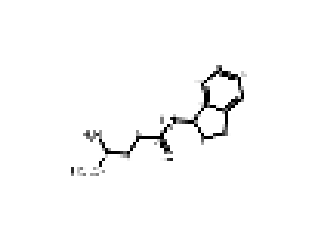 N[C@@H](CCC(=O)NC1CCc2ccccc21)C(=O)O